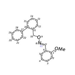 COc1ccccc1/[C]=N/OCc1ccccc1-c1ccccc1